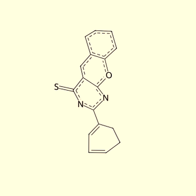 S=c1nc(C2=CC=CCC2)nc2oc3ccccc3cc1-2